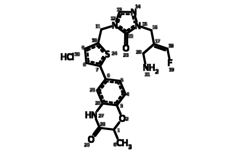 CC1Oc2ccc(-c3ccc(Cn4cnn(C/C(=C/F)CN)c4=O)s3)cc2NC1=O.Cl